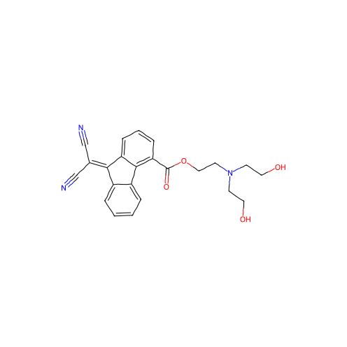 N#CC(C#N)=C1c2ccccc2-c2c(C(=O)OCCN(CCO)CCO)cccc21